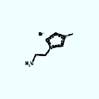 C[n+]1ccn(CCN)c1.[Br-]